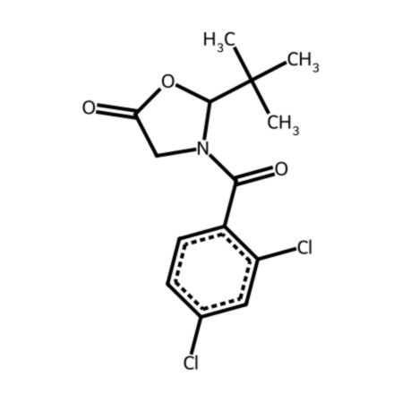 CC(C)(C)C1OC(=O)CN1C(=O)c1ccc(Cl)cc1Cl